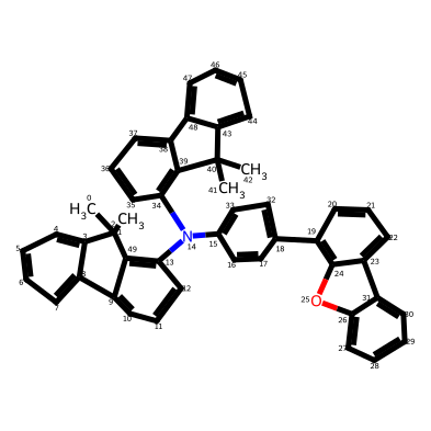 CC1(C)c2ccccc2-c2cccc(N(c3ccc(-c4cccc5c4oc4ccccc45)cc3)c3cccc4c3C(C)(C)c3ccccc3-4)c21